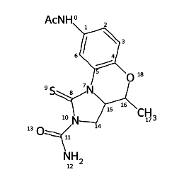 CC(=O)Nc1ccc2c(c1)N1C(=S)N(C(N)=O)CC1C(C)O2